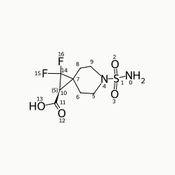 NS(=O)(=O)N1CCC2(CC1)[C@@H](C(=O)O)C2(F)F